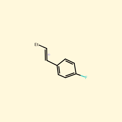 CC/C=C/c1ccc(F)cc1